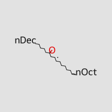 CCCCCCCC/C=C\CCCCCC[CH]CC(=O)CCCCCCCCCCCCCCC